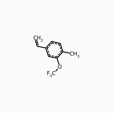 C=Cc1ccc(C)c(OC(F)(F)F)c1